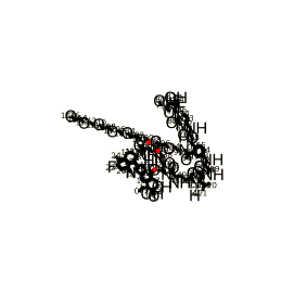 CC[C@@]1(O)C(=O)OCc2c1cc1n(c2=O)Cc2c-1nc1cc(F)c(C)c3c1c2[C@@H](NC(=O)[C@H](C)NC(=O)[C@H](C)NC(=O)[C@H](C)NC(=O)[C@@H](N)CCC(=O)N[C@H](C(=O)N[C@@H](C)C(=O)Nc1ccc(COC(=O)Nc2ccn([C@@H]4O[C@H](CO)[C@@H](O)C4(F)F)c(=O)n2)c(C(=O)NCCOCCOCCOCCOCCOCCOCCOCCOC)c1)C(C)C)CC3